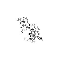 C[C@H]1C=CC2=C[C@H](C)[C@H](O[Si](C)(C)C(C)(C)C)[C@H](O)[C@@H]2[C@H]1CC[C@@H]1C[C@@H](O[Si](C)(C)C(C)(C)C)CC(=O)O1